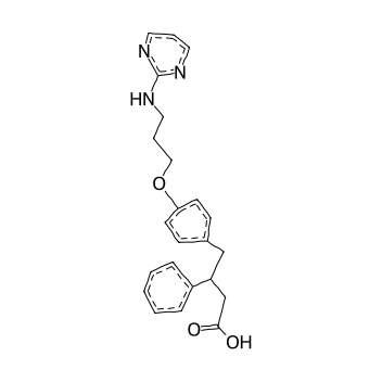 O=C(O)CC(Cc1ccc(OCCCNc2ncccn2)cc1)c1ccccc1